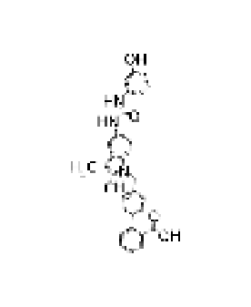 Cc1c(C)n(Cc2ccc(-c3ccccc3C(=O)O)cc2)c2ccc(NC(=O)Nc3cccc(O)c3)cc12